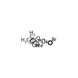 COc1nc(C)c(C)nc1NC(=O)N1CCN(c2cccc(Br)c2)CC1